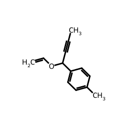 C=COC(C#CC)c1ccc(C)cc1